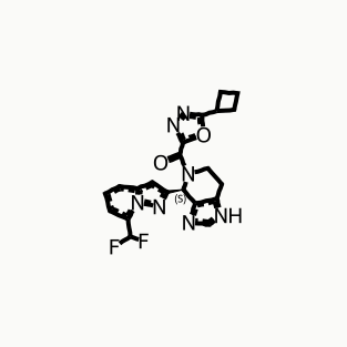 O=C(c1nnc(C2CCC2)o1)N1CCc2[nH]cnc2[C@H]1c1cc2cccc(C(F)F)n2n1